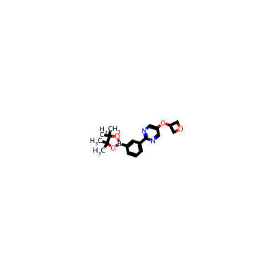 CC1(C)OB(c2cccc(-c3ncc(OC4COC4)cn3)c2)OC1(C)C